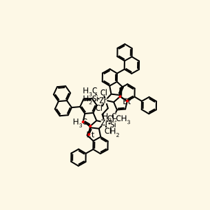 CCC1=Cc2c(-c3cccc4ccccc34)cccc2[CH]1[Zr]([Cl])([Cl])([CH2][CH2][Zr]([Cl])([Cl])([SiH2]C)([CH]1C(C)=Cc2c(-c3ccccc3)cccc21)[CH]1C(CC)=Cc2c(-c3cccc4ccccc34)cccc21)([SiH2]C)[CH]1C(C)=Cc2c(-c3ccccc3)cccc21